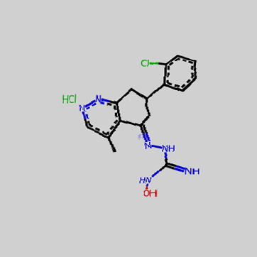 Cc1cnnc2c1/C(=N/NC(=N)NO)CC(c1ccccc1Cl)C2.Cl